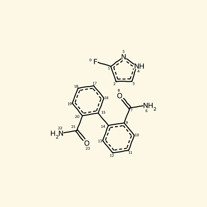 Fc1cc[nH]n1.NC(=O)c1ccccc1-c1ccccc1C(N)=O